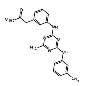 COC(=O)Cc1cccc(Nc2nc(C)nc(Nc3cccc(C)c3)n2)c1